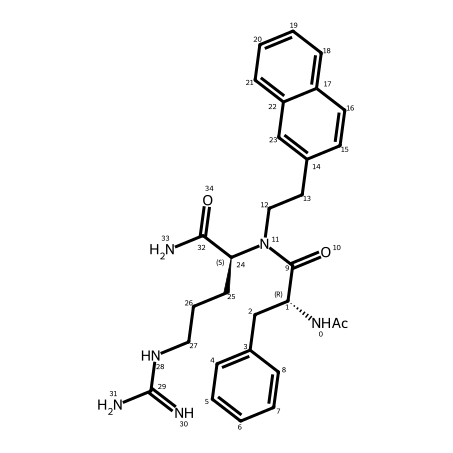 CC(=O)N[C@H](Cc1ccccc1)C(=O)N(CCc1ccc2ccccc2c1)[C@@H](CCCNC(=N)N)C(N)=O